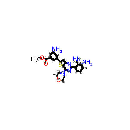 COC(=O)c1cc(N)cc(-c2cc3nc(-c4cccc(N)c4C=N)nc(N4CCOCC4)c3s2)c1